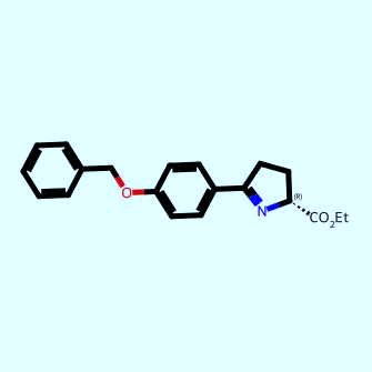 CCOC(=O)[C@H]1CCC(c2ccc(OCc3ccccc3)cc2)=N1